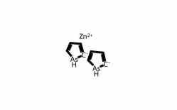 [C-]1=CC=C[AsH]1.[C-]1=CC=C[AsH]1.[Zn+2]